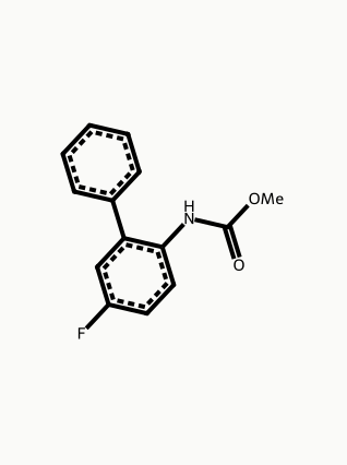 COC(=O)Nc1ccc(F)cc1-c1ccccc1